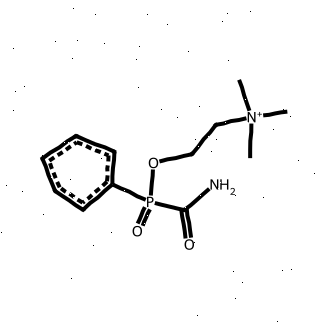 C[N+](C)(C)CCOP(=O)(C(N)=O)c1ccccc1